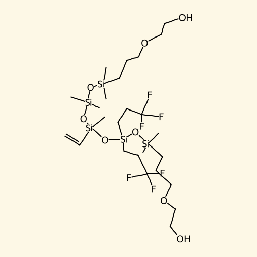 C=C[Si](C)(O[Si](C)(C)O[Si](C)(C)CCCOCCO)O[Si](CCC(F)(F)F)(CCC(F)(F)F)O[Si](C)(C)CCCOCCO